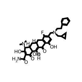 CN(C)[C@@H]1C(O)=C(C(N)=O)C(=O)[C@@]2(O)C(O)=C3C(=O)c4c(O)cc(CN(CCc5ccccc5)CC5CC5)c(F)c4C[C@H]3C[C@@H]12